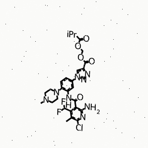 Cc1c(Cl)nc(N)c(C(=O)Nc2cc(-n3cc(C(=O)OCOC(=O)C(C)C)nn3)ccc2N2CCN(C)CC2)c1C(F)F